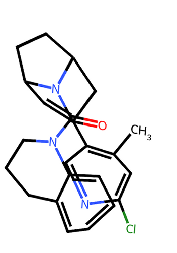 Cc1cc(Cl)ncc1C1=CC2CCC(C1)N2C(=O)N1CCCc2ccccc21